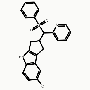 O=S(=O)(c1ccccc1)C(c1ccccn1)C1Cc2[nH]c3ccc(Cl)cc3c2C1